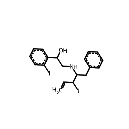 C=CC(I)C(Cc1ccccc1)NCC(O)c1ccccc1I